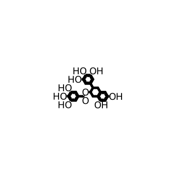 O=C(OC1Cc2c(O)cc(O)cc2CC1c1cc(O)c(O)c(O)c1)c1cc(O)c(O)c(O)c1